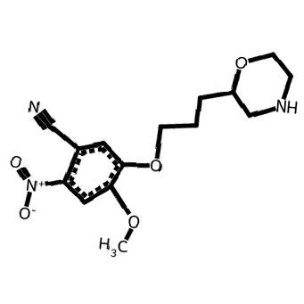 COc1cc([N+](=O)[O-])c(C#N)cc1OCCCC1CNCCO1